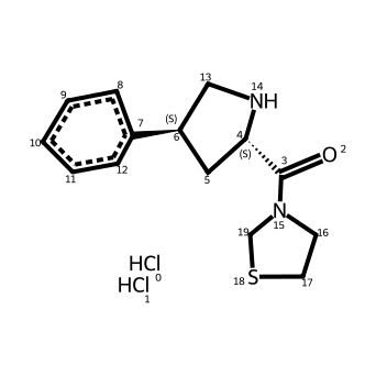 Cl.Cl.O=C([C@@H]1C[C@@H](c2ccccc2)CN1)N1CCSC1